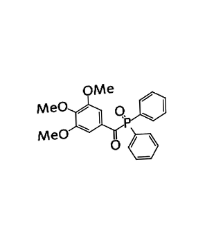 COc1cc(C(=O)P(=O)(c2ccccc2)c2ccccc2)cc(OC)c1OC